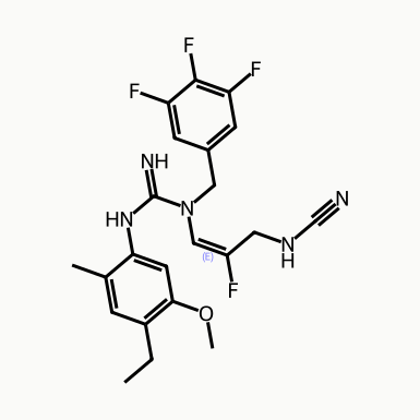 CCc1cc(C)c(NC(=N)N(/C=C(/F)CNC#N)Cc2cc(F)c(F)c(F)c2)cc1OC